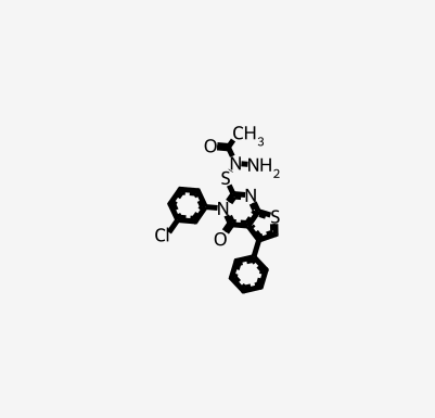 CC(=O)N(N)Sc1nc2scc(-c3ccccc3)c2c(=O)n1-c1cccc(Cl)c1